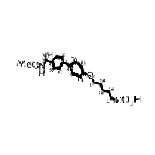 CONC(=N)c1ccc(-c2ccc(OCCCCCC(=O)O)cc2)cc1